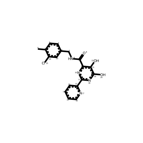 Cc1ccc(CNC(=O)c2nc(-c3ccccn3)nc(O)c2O)cc1Cl